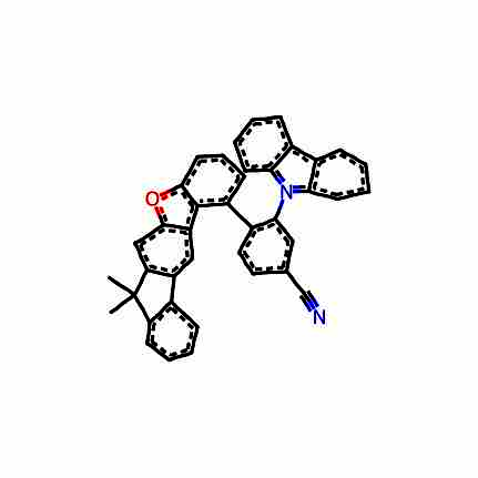 CC1(C)c2ccccc2-c2cc3c(cc21)oc1cccc(-c2ccc(C#N)cc2-n2c4ccccc4c4ccccc42)c13